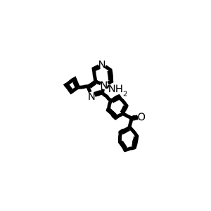 N[N+]12C=CN=CC1=C(C1=CC=C1)N=C2c1ccc(C(=O)c2ccccc2)cc1